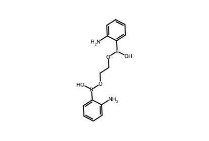 Nc1ccccc1B(O)OCCOB(O)c1ccccc1N